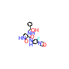 O=C(Nc1ccc(N2CCOCC2)c(F)c1)c1c(NC[C@@H](O)c2ccccc2)cc[nH]c1=O